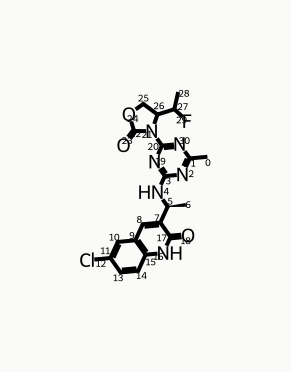 Cc1nc(N[C@@H](C)c2cc3cc(Cl)ccc3[nH]c2=O)nc(N2C(=O)OCC2C(C)F)n1